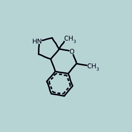 CC1OC2(C)CNCC2c2ccccc21